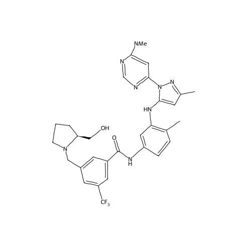 CNc1cc(-n2nc(C)cc2Nc2cc(NC(=O)c3cc(CN4CCC[C@H]4CO)cc(C(F)(F)F)c3)ccc2C)ncn1